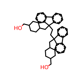 OCC1CCC(CC2(CCC3(CC4CCC(CO)CC4)c4ccccc4-c4ccccc43)c3ccccc3-c3ccccc32)CC1